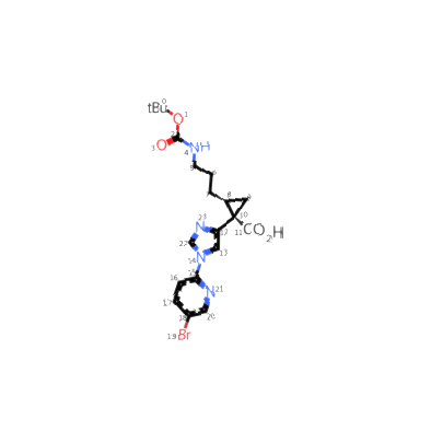 CC(C)(C)OC(=O)NCCC[C@H]1C[C@]1(C(=O)O)c1cn(-c2ccc(Br)cn2)cn1